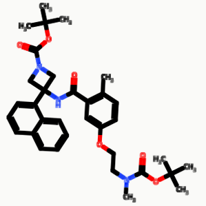 Cc1ccc(OCCN(C)C(=O)OC(C)(C)C)cc1C(=O)NC1(c2cccc3ccccc23)CN(C(=O)OC(C)(C)C)C1